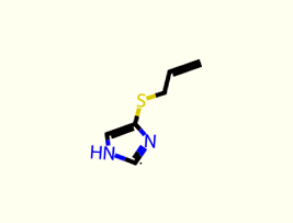 C=CCSc1c[nH][c]n1